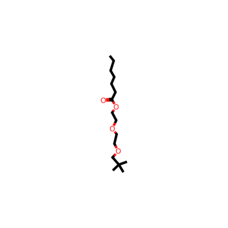 CCCCCCC(=O)OCCOCCOCC(C)(C)C